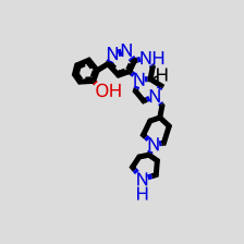 Oc1ccccc1-c1cc2c(nn1)NC[C@H]1CN(CC3CCN(C4CCNCC4)CC3)CCN21